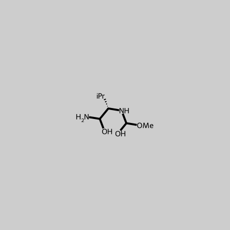 COC(O)N[C@@H](C(C)C)C(N)O